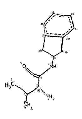 CC(C)[C@@H](N)C(=O)NC1Cc2ccccc2C1